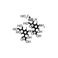 Nc1c(I)c(C(CO)C(O)CO)c(I)c(C(CO)C(O)CO)c1I.Nc1c(I)c(C(CO)C(O)CO)c(I)c(C(CO)C(O)CO)c1I.O=C(O)CC(=O)O